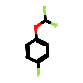 Fc1[c]cc(OC(F)F)cc1